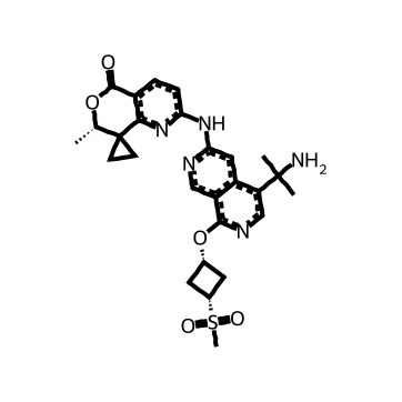 C[C@@H]1OC(=O)c2ccc(Nc3cc4c(C(C)(C)N)cnc(O[C@H]5C[C@@H](S(C)(=O)=O)C5)c4cn3)nc2C12CC2